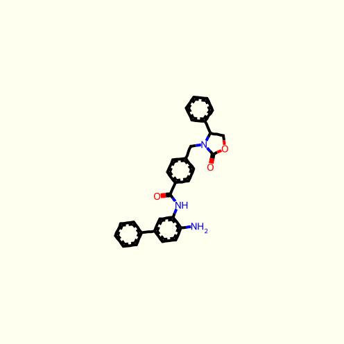 Nc1ccc(-c2ccccc2)cc1NC(=O)c1ccc(CN2C(=O)OCC2c2ccccc2)cc1